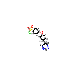 O=S(=O)(Cl)c1ccc(Oc2ccc(-c3cncnc3)cc2)cc1